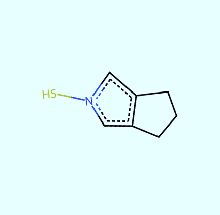 Sn1cc2c(c1)CCC2